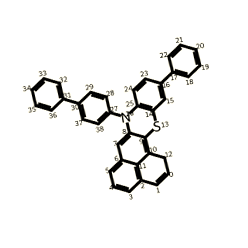 C1=Cc2cccc3cc4c(c(c23)C1)Sc1cc(-c2ccccc2)ccc1N4c1ccc(-c2ccccc2)cc1